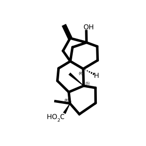 C=C1CC23CCC4[C@](C)(C(=O)O)CCC[C@@]4(C)[C@@H]2CCC1(O)C3